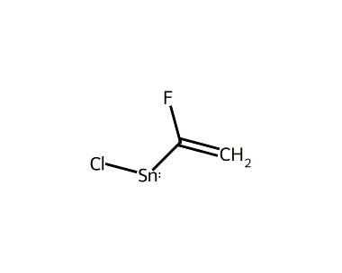 C=[C](F)[Sn][Cl]